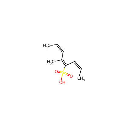 C\C=C/C(C)=C(\C=C/C)S(=O)(=O)O